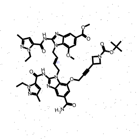 CCn1nc(C)cc1C(=O)Nc1nc2cc(C(=O)OC)cc(OC)c2n1C/C=C/Cn1c(NC(=O)c2cc(C)nn2CC)nc2cc(C(N)=O)cc(OCC#CC3CN(C(=O)OC(C)(C)C)C3)c21